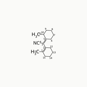 CC1=C(/C(C#N)=C2\CCCCC2C)CCCC1